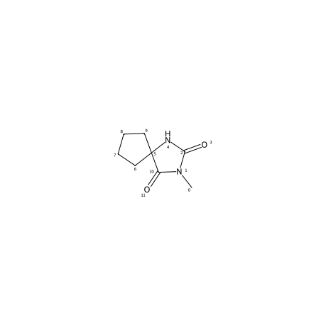 CN1C(=O)NC2(CCCC2)C1=O